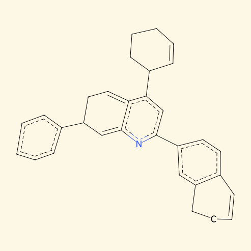 C1=CC(c2cc(-c3ccc4c(c3)CCC=C4)nc3c2=CCC(c2ccccc2)C=3)CCC1